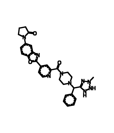 CN1N=C(C(c2ccccc2)N2CCN(C(=O)c3cc(-c4nc5cc(N6CCCC6=O)ccc5o4)ccn3)CC2)NN1